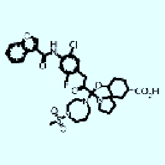 CS(=O)(=O)N1CCCN(C(O[C@H]2CC[C@H](C(=O)O)CC2)(C(=O)Cc2cc(Cl)c(NC(=O)c3coc4ccccc34)cc2F)N2CCCC2)CC1